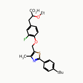 CCOC(Cc1ccc(OCc2sc(-c3ccc(C(C)(C)C)cc3)nc2C)c(F)c1)C(=O)O